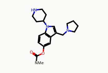 CNC(=O)Oc1ccc2c(c1)c(CN1CCCC1)cn2C1CCNCC1